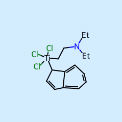 CCN(CC)C[CH2][Ti]([Cl])([Cl])([Cl])[CH]1C=Cc2ccccc21